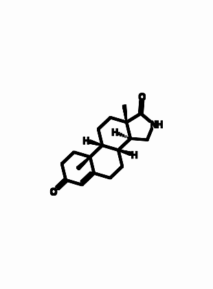 C[C@]12CCC(=O)C=C1CC[C@@H]1[C@H]2CC[C@]2(C)C(=O)NC[C@@H]12